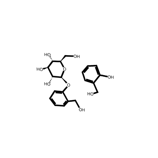 OCc1ccccc1O.OCc1ccccc1O[C@@H]1O[C@H](CO)[C@@H](O)[C@H](O)[C@H]1O